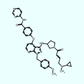 COc1ccc(Cn2nc(NC3CCN(C(=O)/C=C/CN(C)C4CC4)C3)c3c(Oc4ccc(C(=O)Nc5ccncn5)cc4)ccnc32)cc1